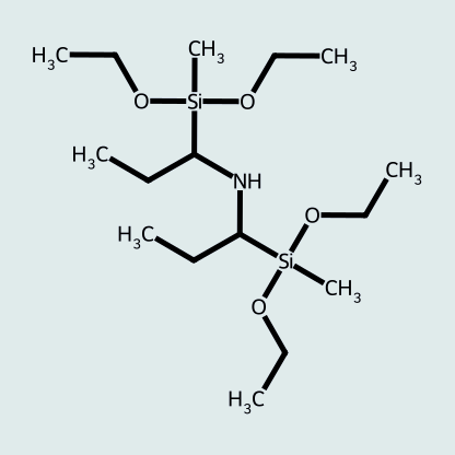 CCO[Si](C)(OCC)C(CC)NC(CC)[Si](C)(OCC)OCC